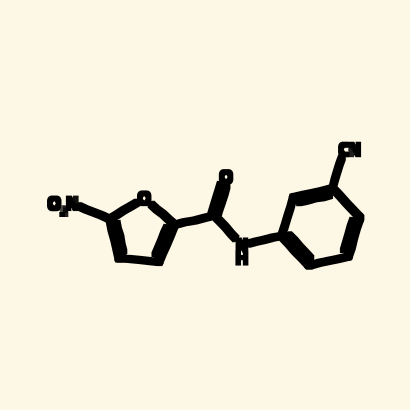 N#Cc1cccc(NC(=O)c2ccc([N+](=O)[O-])o2)c1